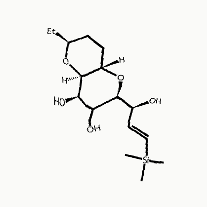 CC[C@H]1CC[C@@H]2O[C@@H]([C@@H](O)/C=C/[Si](C)(C)C)C(O)[C@@H](O)[C@H]2O1